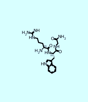 N=C(N)NCCC[C@H](N)C(=O)N[C@@H](Cc1c[nH]c2ccccc12)C(=O)NCC(N)=O